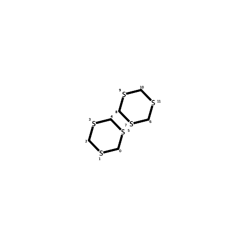 C1SCSCS1.C1SCSCS1